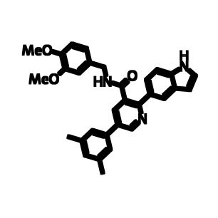 COc1ccc(CNC(=O)c2cc(-c3cc(C)cc(C)c3)cnc2-c2ccc3[nH]ccc3c2)cc1OC